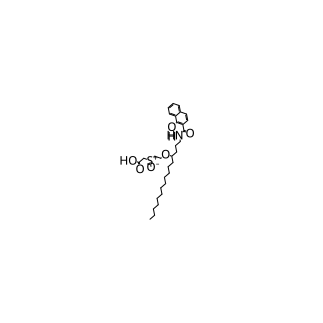 CCCCCCCCCCCCC(CCCNC(=O)c1ccc2ccccc2c1O)OCC[S+]([O-])CC(=O)O